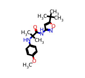 COc1ccc(NC(C)(C)C(=O)Nc2cc(C(C)(C)C)on2)cc1